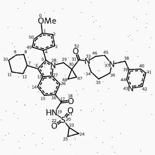 COc1ccc(-c2c(C3CCCCC3)c3ccc(C(=O)NS(=O)(=O)C4CC4)cc3n2CC2(C(=O)N3CCCN(Cc4cccnc4)CC3)CC2)cc1